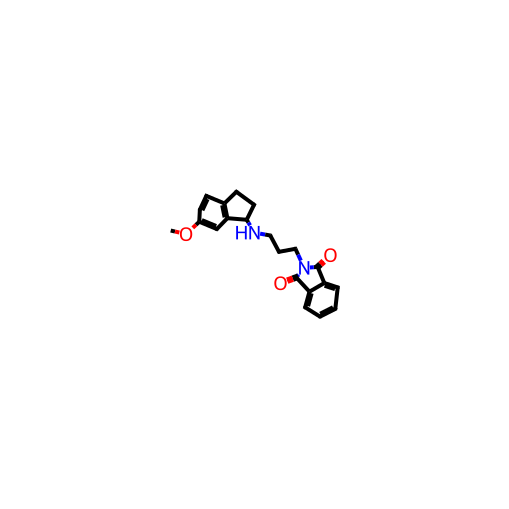 COc1ccc2c(c1)C(NCCCN1C(=O)c3ccccc3C1=O)CC2